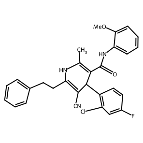 COc1ccccc1NC(=O)C1=C(C)NC(CCc2ccccc2)=C(C#N)C1c1ccc(F)cc1Cl